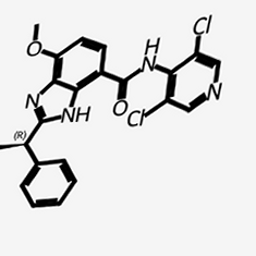 COc1ccc(C(=O)Nc2c(Cl)cncc2Cl)c2[nH]c([C@H](C)c3ccccc3)nc12